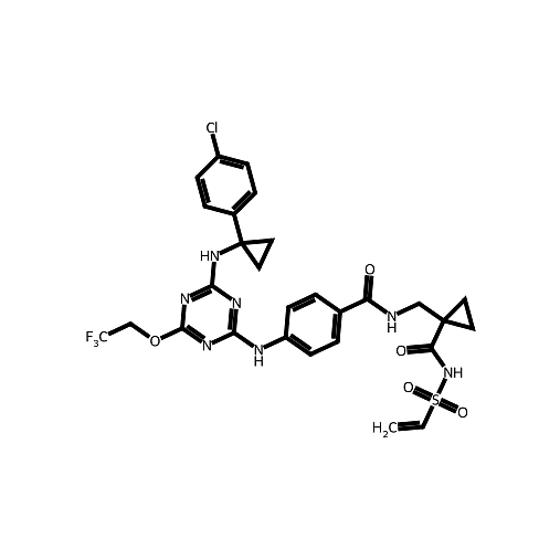 C=CS(=O)(=O)NC(=O)C1(CNC(=O)c2ccc(Nc3nc(NC4(c5ccc(Cl)cc5)CC4)nc(OCC(F)(F)F)n3)cc2)CC1